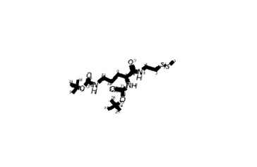 CSSCCNC(=O)C(CCCNC(=O)OC(C)(C)C)NC(=O)OC(C)(C)C